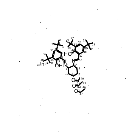 CC(C)(C)c1cc(C=NC2CCCCC2N=Cc2cc(C(C)(C)C)cc(C(C)(C)C)c2O)c(O)c(C(C)(C)C)c1.CC[O-].CC[O-].CC[O-].[In+3]